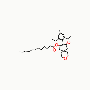 CCCCCCCCCCCC(=O)OC1=C(c2c(CC)cc(C)cc2CC)C(=O)CC2(CCOCC2)C1